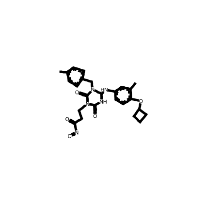 Cc1ccc(CN2C(=O)N(CCC(=O)N=O)C(=O)NC2Nc2ccc(OC3CCC3)c(C)c2)cc1